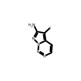 Nc1nn2nnccc2c1I